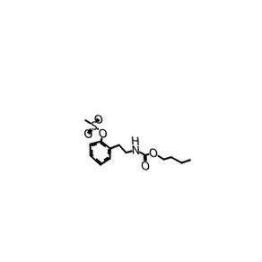 CCCCOC(=O)NCCc1ccccc1OS(C)(=O)=O